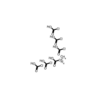 C.C.O=C(O)Cl.O=C(O)Cl.O=C(O)Cl.O=C(O)Cl.O=C(O)Cl.O=C(O)Cl